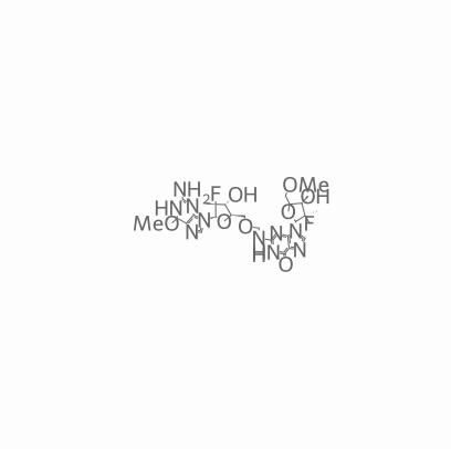 COCC1O[C@@H](n2cnc3c(=O)[nH]c(NCOC[C@H]4O[C@@H](n5cnc6c5N=C(N)NC6OC)[C@](C)(F)[C@@H]4O)nc32)[C@](C)(F)[C@@H]1O